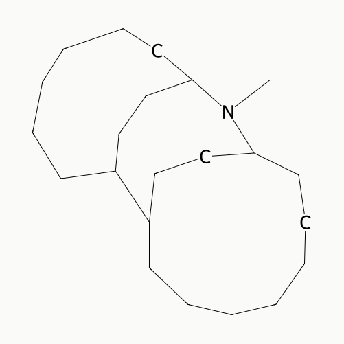 CN1C2CCCCCCCC(CC2)C2CCCCCCC1CC2